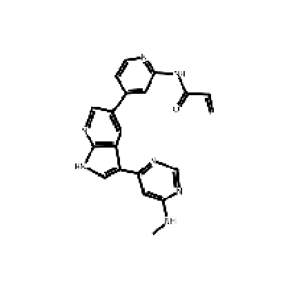 C=CC(=O)Nc1cc(-c2cnc3[nH]cc(-c4cc(NC)ncn4)c3c2)ccn1